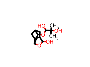 CC(C)(O)C(O)OC1C2CC3C(O)OC1C3C2